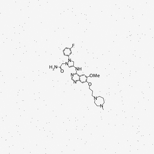 COc1cc2c(NC3=CN(CC(N)=O)N(c4cccc(F)c4)C3)ncnc2cc1OCCCN1CCCN(C)CC1